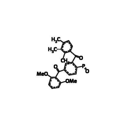 COc1cccc(OC)c1C(=O)c1ccc(P=O)c(C(=O)c2ccc(C)c(C)c2C)c1